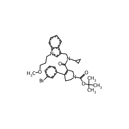 COCCCn1cc(CN(C(=O)C2=C(c3cccc(Br)c3)CCN(C(=O)OC(C)(C)C)C2)C2CC2)c2ccccc21